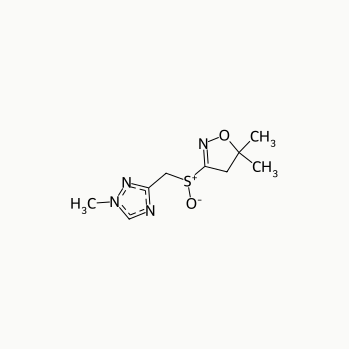 Cn1cnc(C[S+]([O-])C2=NOC(C)(C)C2)n1